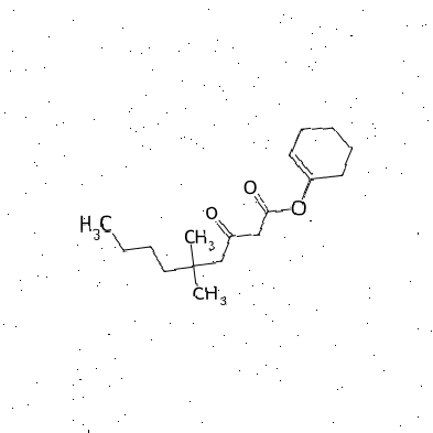 CCCCC(C)(C)CC(=O)CC(=O)OC1=CCCCC1